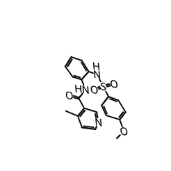 COc1ccc(S(=O)(=O)Nc2ccccc2NC(=O)c2cnccc2C)cc1